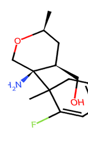 C[C@H]1C[C@@H](CO)[C@](N)(C2(C)CC=CC=C2F)CO1